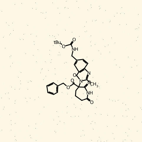 Cc1nc2ccc(CNC(=O)OC(C)(C)C)cc2c(=O)n1C1(C(=O)OCc2ccccc2)CCCC(=O)NC1=O